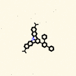 CC(C)c1ccc2cc3c(cc2c1)c1cc(-c2ccc(-c4ccccc4)cc2-c2ccccc2)cc2c4cc5cc(C(C)C)ccc5cc4n3c12